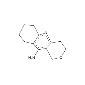 Nc1c2c(nc3c1COCC3)CCCC2